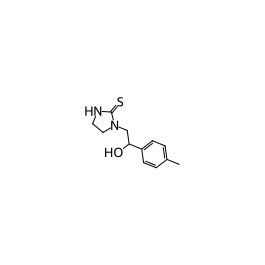 Cc1ccc(C(O)CN2CCNC2=S)cc1